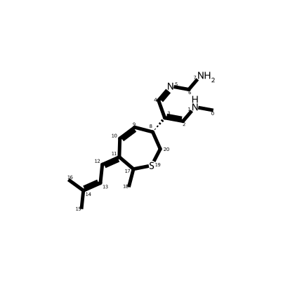 CN/C=C(\C=N/CN)[C@H]1C=C/C(=C/C=C(C)C)C(C)SC1